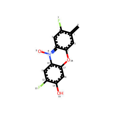 C=c1cc2c(cc1F)=[N+]([O-])c1cc(F)c(O)cc1O2